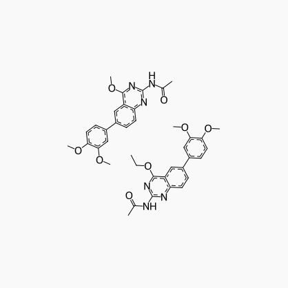 CCOc1nc(NC(C)=O)nc2ccc(-c3ccc(OC)c(OC)c3)cc12.COc1ccc(-c2ccc3nc(NC(C)=O)nc(OC)c3c2)cc1OC